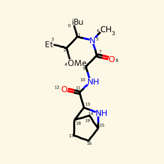 CCC(C)C(C(CC)OC)N(C)C(=O)CNC(=O)C1NC2CCC1C2